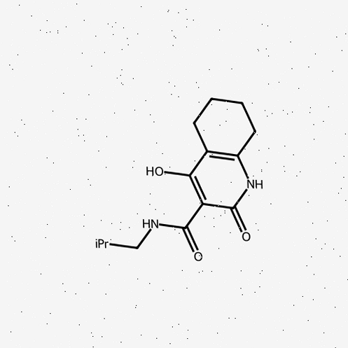 CC(C)CNC(=O)c1c(O)c2c([nH]c1=O)CCCC2